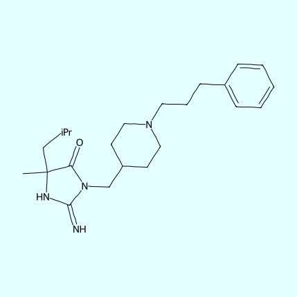 CC(C)CC1(C)NC(=N)N(CC2CCN(CCCc3ccccc3)CC2)C1=O